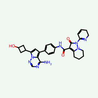 Nc1ncnn2c(C3CC(O)C3)cc(-c3ccc(NC(=O)c4c5n(n(C6=NCCC=C6)c4=O)CCCC5)cc3)c12